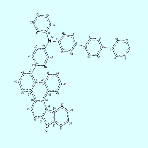 c1ccc(-c2ccc(-c3ccc(N(c4ccccc4)c4ccc(-c5cccc6c7ccc8oc9ccccc9c8c7c7ccccc7c56)cc4)cc3)cc2)cc1